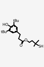 CC(C)(S)CCOC(=O)CCc1cc(C(C)(C)C)c(O)c(C(C)(C)C)c1